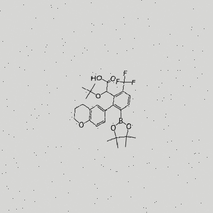 CC(C)(C)OC(C(=O)O)c1c(C(F)(F)F)ccc(B2OC(C)(C)C(C)(C)O2)c1-c1ccc2c(c1)CCCO2